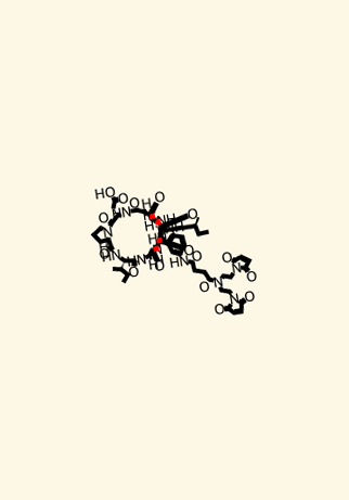 CCC(C)[C@@H]1NC(=O)[C@@H]2CCCN2C(=O)[C@H](CC(=O)O)NC(=O)[C@@H]2CSc3[nH]c4ccc(NC(=O)CCC(=O)N(CCN5C(=O)C=CC5=O)CCN5C(=O)C=CC5=O)cc4c3C[C@H](NC1=O)C(=O)NCC(=O)N[C@@H]([C@@H](C)CC)C(=O)NCC(=O)N2